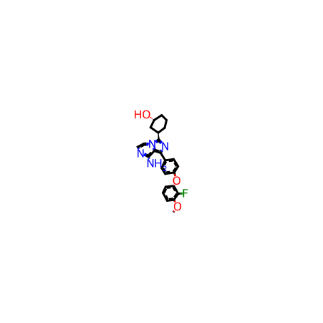 COc1cccc(Oc2ccc(-c3nc([C@@H]4CCC[C@@H](O)C4)n4ccnc(N)c34)cc2)c1F